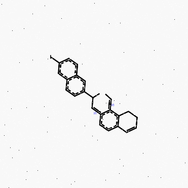 C/C=c1/c2c(cc/c1=C/C(C)c1ccc3cc(I)ccc3c1)C=CCC2